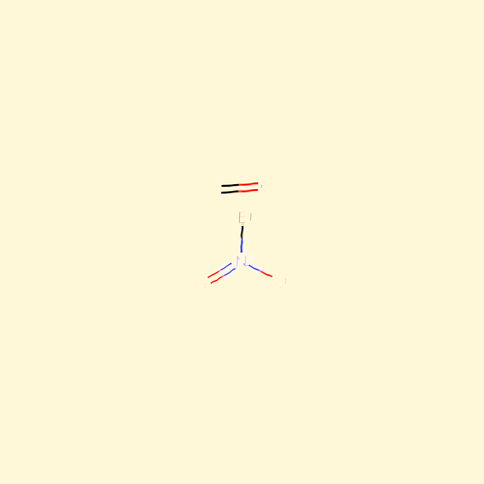 C=O.CC[N+](=O)[O-]